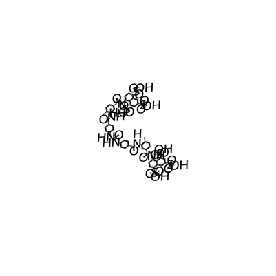 Cc1ccc(C(=O)Nc2ccc(S(=O)(=O)O)c3cc(S(=O)(=O)O)cc(S(=O)(=O)O)c23)cc1NC(=O)c1ccc(NC(=O)Nc2ccc(C(=O)Nc3cc(C(=O)Nc4ccc(S(=O)(=O)O)c5cc(S(=O)(=O)O)cc(S(=O)(=O)O)c45)ccc3C)cc2)cc1